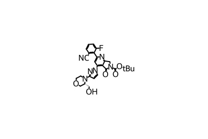 CC(C)(C)OC(=O)N1Cc2nc(-c3c(F)cccc3C#N)cc(-n3ccc(N4CCOC[C@H]4CO)n3)c2C1=O